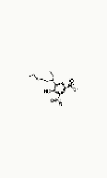 CCCCCC(CC)c1cc([N+](=O)[O-])cc([N+](=O)[O-])c1O